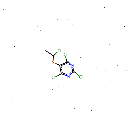 CC(Cl)Sc1c(Cl)nc(Cl)nc1Cl